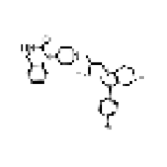 O=C1NCc2ccccc2N1C1CCN(CC(O)Cn2nc(-c3ccc(Br)cc3)c3c2CCNC3)CC1